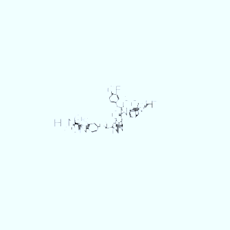 NS(=O)(=O)c1nc2ccc(OCC3CN([C@@H](Cc4ccc(OCCF)cc4)C(=O)N[C@H](Cc4ccc(C(F)(F)F)cc4)C(=O)O)N=N3)cc2s1